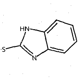 [S]c1nc2ccccc2[nH]1